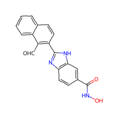 O=Cc1c(-c2nc3ccc(C(=O)NO)cc3[nH]2)ccc2ccccc12